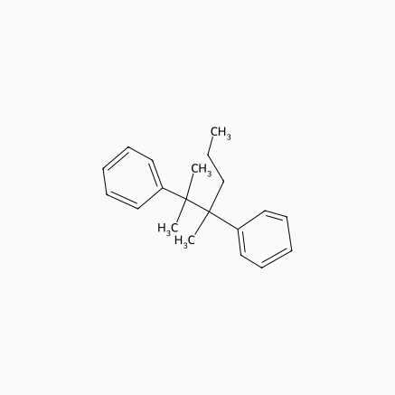 CCCC(C)(c1ccccc1)C(C)(C)c1ccccc1